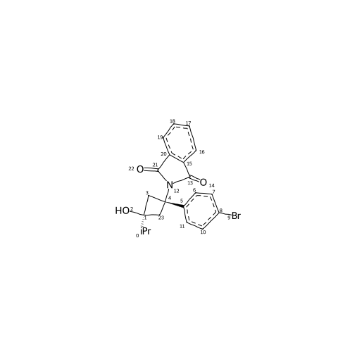 CC(C)[C@]1(O)C[C@](c2ccc(Br)cc2)(N2C(=O)c3ccccc3C2=O)C1